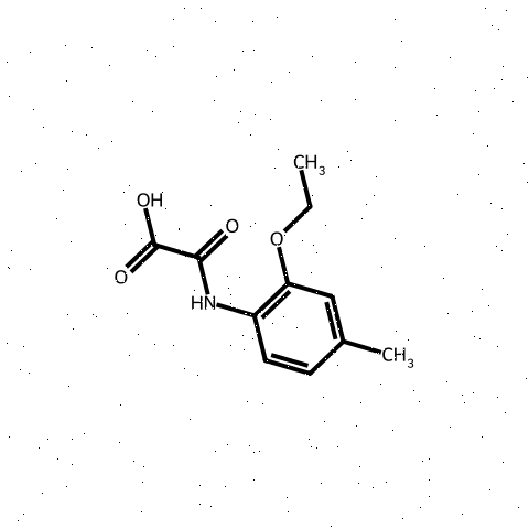 CCOc1cc(C)ccc1NC(=O)C(=O)O